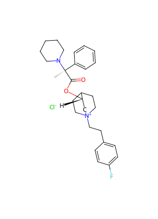 C[C@@](C(=O)O[C@H]1C[N+]2(CCc3ccc(F)cc3)CCC1CC2)(c1ccccc1)N1CCCCC1.[Cl-]